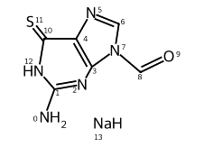 Nc1nc2c(ncn2C=O)c(=S)[nH]1.[NaH]